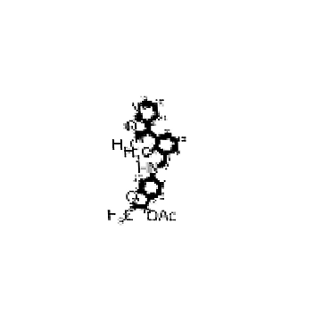 CC(=O)O[C@H]1c2ccc(NCc3cccc(-c4c(C)oc5ncccc45)c3C)cc2OC1C